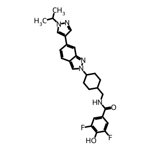 CC(C)n1cc(-c2ccc3cn(C4CCC(CNC(=O)c5cc(F)c(O)c(F)c5)CC4)nc3c2)cn1